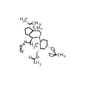 C=C(C)[C@H]1CCC2[C@H](CN=[N+]=[N-])C([C@@]3(C)CC[C@H](OC(C)=O)C[C@@H]3COC(C)=O)CC[C@@]21C